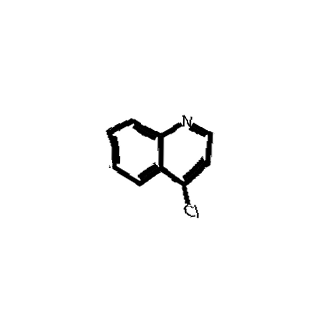 Clc1ccnc2cc[c]cc12